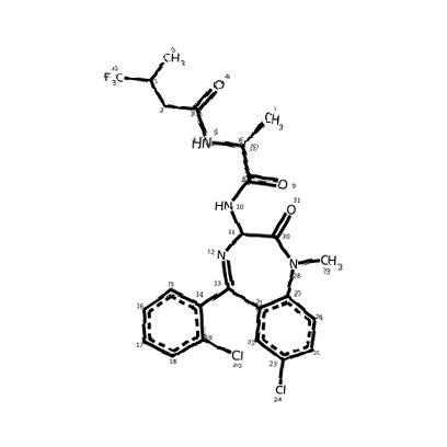 CC(CC(=O)N[C@@H](C)C(=O)NC1N=C(c2ccccc2Cl)c2cc(Cl)ccc2N(C)C1=O)C(F)(F)F